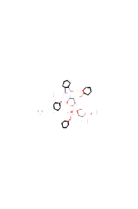 COc1ccc(O[C@@H]2O[C@H](COCc3ccccc3)[C@@H](O[C@@H]3O[C@H](CO)[C@H](O)[C@H](O)[C@H]3O)[C@H](OCc3ccccc3)[C@H]2N2C(O)c3ccccc3C2O)cc1